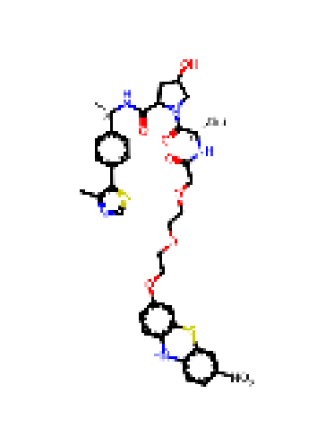 Cc1ncsc1-c1ccc([C@H](C)NC(=O)C2CC(O)CN2C(=O)[C@@H](NC(=O)COCCOCCOc2ccc3c(c2)Sc2cc([N+](=O)[O-])ccc2N3)C(C)(C)C)cc1